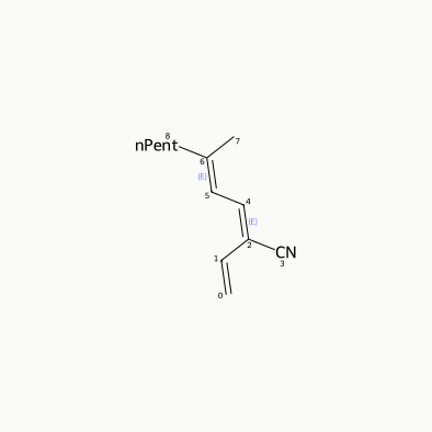 C=C/C(C#N)=C\C=C(/C)CCCCC